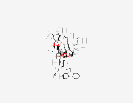 C=CCOC(=O)NC(CSCC1c2ccccc2-c2ccccc21)C(=O)N[C@H]1CS[C@@H]2c3c(OC(C)=O)c(C)c4c(c3[C@H](COC1=O)N1C2[C@H]2c3c(cc(C)c(OC)c3OCOC)C[C@@H]([C@@H]1C#N)N2C)OCO4